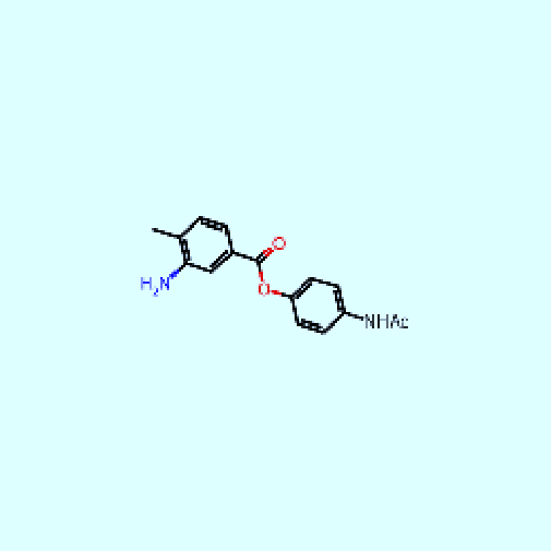 CC(=O)Nc1ccc(OC(=O)c2ccc(C)c(N)c2)cc1